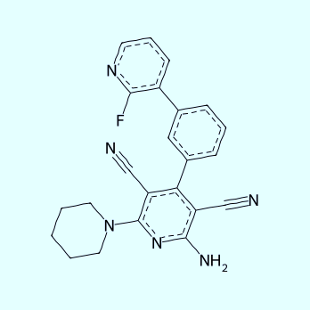 N#Cc1c(N)nc(N2CCCCC2)c(C#N)c1-c1cccc(-c2cccnc2F)c1